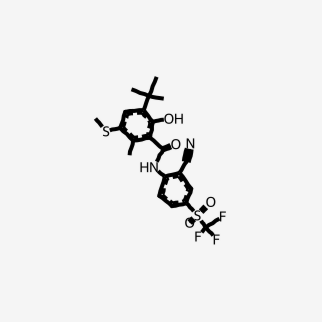 CSc1cc(C(C)(C)C)c(O)c(C(=O)Nc2ccc(S(=O)(=O)C(F)(F)F)cc2C#N)c1C